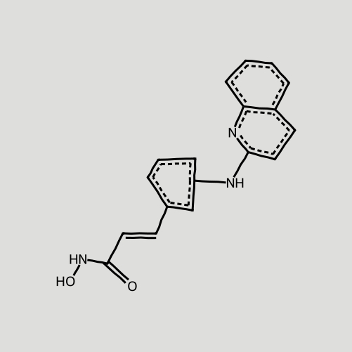 O=C(/C=C/c1cccc(Nc2ccc3ccccc3n2)c1)NO